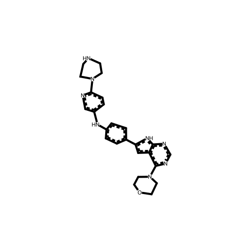 c1nc(N2CCOCC2)c2cc(-c3ccc(Nc4ccc(N5CCNCC5)nc4)cc3)[nH]c2n1